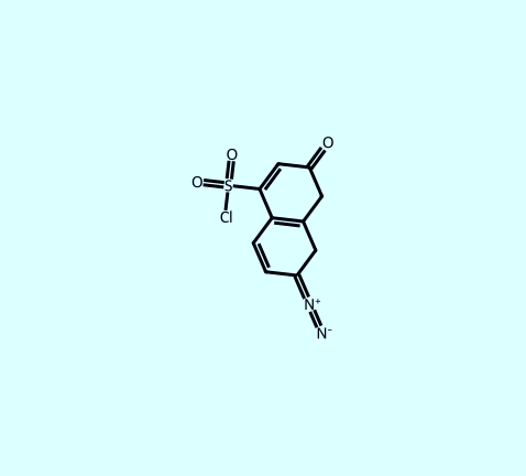 [N-]=[N+]=C1C=CC2=C(CC(=O)C=C2S(=O)(=O)Cl)C1